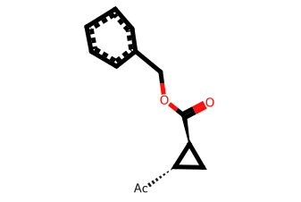 CC(=O)[C@H]1C[C@@H]1C(=O)OCc1ccccc1